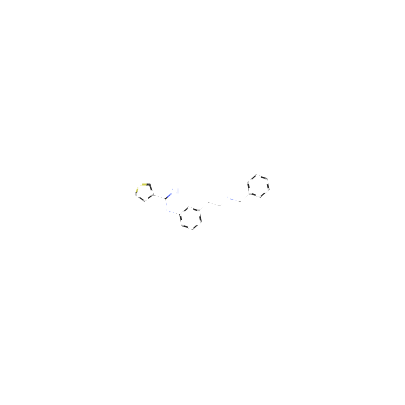 N=C(Nc1cccc(CCNCc2ccccc2)c1)c1ccsc1